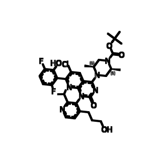 CC(C)c1nccc(CCCO)c1-n1c(=O)nc(N2C[C@H](C)N(C(=O)OC(C)(C)C)C[C@@H]2C)c2cc(Cl)c(-c3c(F)ccc(F)c3O)nc21